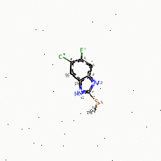 CCCSc1nc2cc(F)c(Cl)cc2[nH]1